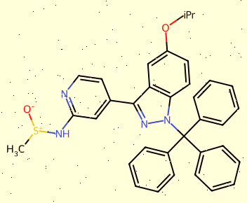 CC(C)Oc1ccc2c(c1)c(-c1ccnc(N[S+](C)[O-])c1)nn2C(c1ccccc1)(c1ccccc1)c1ccccc1